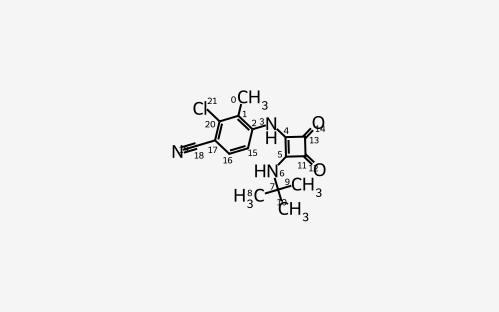 Cc1c(Nc2c(NC(C)(C)C)c(=O)c2=O)ccc(C#N)c1Cl